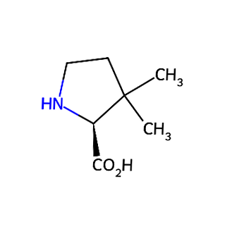 CC1(C)CCN[C@@H]1C(=O)O